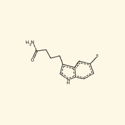 NC(=O)CCCc1c[nH]c2ccc(F)cc12